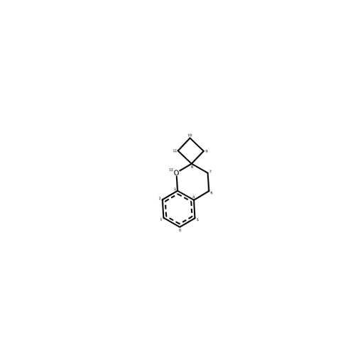 c1ccc2c(c1)CCC1(CCC1)O2